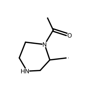 [CH2]C1CNCCN1C(C)=O